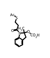 CC(=O)SCCC(=O)N1c2ccccc2CC1(C)OC(=O)O